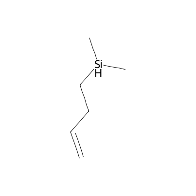 C=CCC[SiH](C)C